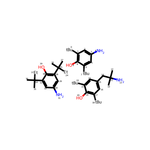 CC(C)(C)c1cc(N)cc(C(C)(C)C)c1O.CC(C)(N)Cc1cc(C(C)(C)C)c(O)c(C(C)(C)C)c1.CCC(C)(C)c1cc(N)cc(C(C)(C)CC)c1O